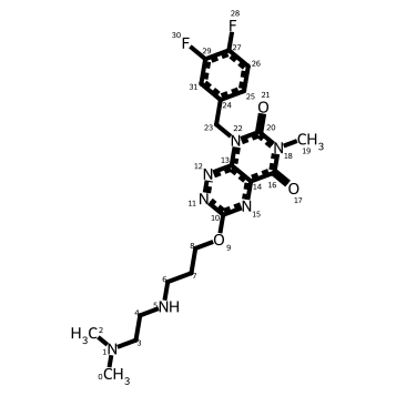 CN(C)CCNCCCOc1nnc2c(n1)c(=O)n(C)c(=O)n2Cc1ccc(F)c(F)c1